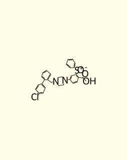 O=C(O)c1ccc(N2CCN(Cc3ccccc3-c3ccc(Cl)cc3)CC2)cc1[S+]([O-])c1ccccc1